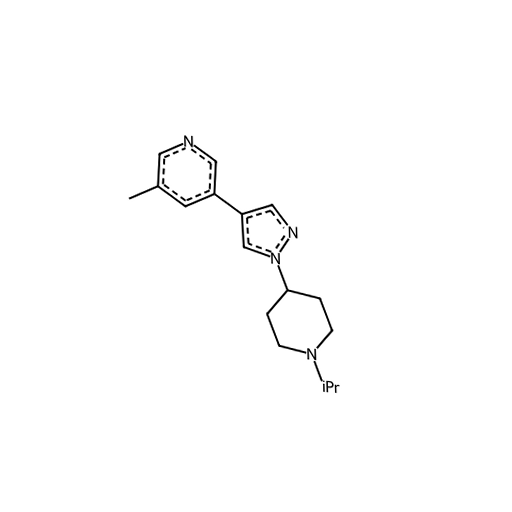 Cc1cncc(-c2cnn(C3CCN(C(C)C)CC3)c2)c1